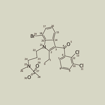 CCc1c(C(=O)c2cccc(Cl)c2Cl)c2cccc(Br)c2n1CCCN(C)S(C)(=O)=O